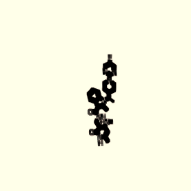 CNc1cc(C)[nH]c(=O)c1CNC(=O)c1c(C)n([C@H](C)C2CCN(c3ncc(F)cn3)CC2)c2ccccc12